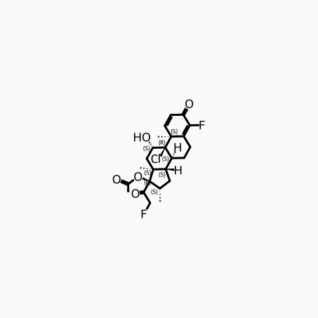 CC(=O)O[C@]1(C(=O)CF)[C@@H](C)C[C@H]2[C@@H]3CCC4=C(F)C(=O)C=C[C@]4(C)[C@@]3(Cl)[C@@H](O)C[C@@]21C